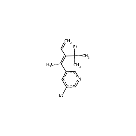 C=C/C(=C(\C)c1cncc(CC)c1)C(C)(C)CC